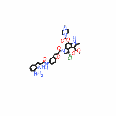 COC(=O)c1c(C)[nH]c2c(OC(=O)N3CCN(C)CC3)cc3c(c12)[C@H](CCl)CN3C(=O)c1cc2cc(NC(=O)c3cc4cccc(N)c4[nH]3)ccc2o1